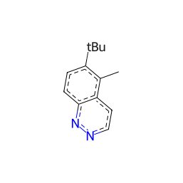 Cc1c(C(C)(C)C)ccc2nnccc12